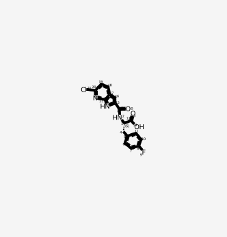 O=C(N[C@@H](Cc1ccc(F)cc1)C(=O)O)c1cc2ccc(Cl)nc2[nH]1